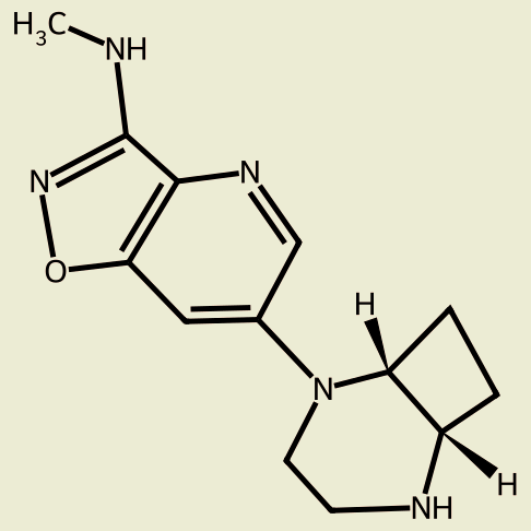 CNc1noc2cc(N3CCN[C@H]4CC[C@H]43)cnc12